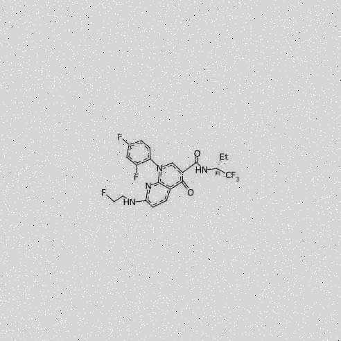 CC[C@@H](NC(=O)c1cn(-c2ccc(F)cc2F)c2nc(NCCF)ccc2c1=O)C(F)(F)F